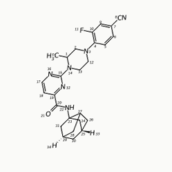 CC1CN(c2ccc(C#N)cc2F)CCN1c1nccc(C(=O)NC23C[C@@H]4CC2C[C@@H](C4)C3)n1